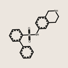 O=S(=O)(Nc1ccc2c(c1)CCNC2)c1ccccc1-c1ccccc1